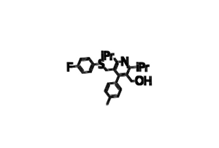 Cc1ccc(-c2c(CO)c(C(C)C)nc(C(C)C)c2CSc2ccc(F)cc2)cc1